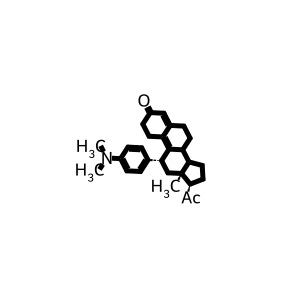 CC(=O)[C@H]1CCC2C3CCC4=CC(=O)CCC4=C3[C@@H](c3ccc(N(C)C)cc3)C[C@@]21C